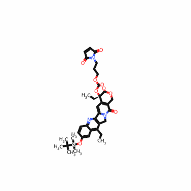 CCc1c2c(nc3ccc(O[Si](C)(C)C(C)(C)C)cc13)-c1cc3c(c(=O)n1C2)COC(=O)[C@@]3(CC)OC(=O)OCCCN1C(=O)C=CC1=O